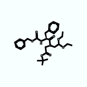 CCOC(CN(CC(=O)OC(C)(C)C)C(=O)[C@H](Cc1ccccc1)NC(=O)OCc1ccccc1)OCC